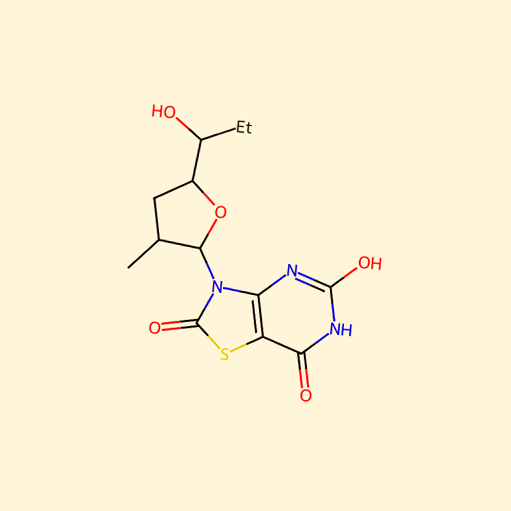 CCC(O)C1CC(C)C(n2c(=O)sc3c(=O)[nH]c(O)nc32)O1